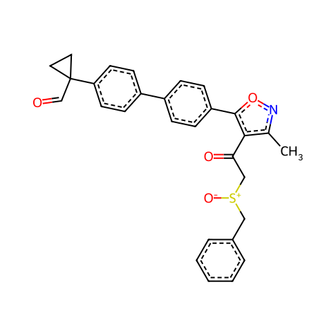 Cc1noc(-c2ccc(-c3ccc(C4(C=O)CC4)cc3)cc2)c1C(=O)C[S+]([O-])Cc1ccccc1